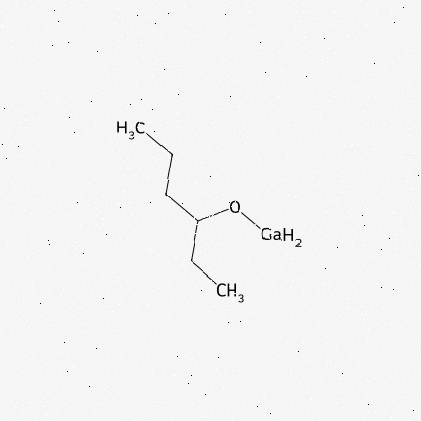 CCCC(CC)[O][GaH2]